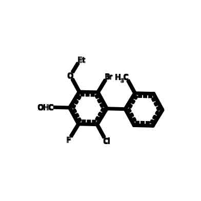 CCOc1c(Br)c(-c2ccccc2C)c(Cl)c(F)c1C=O